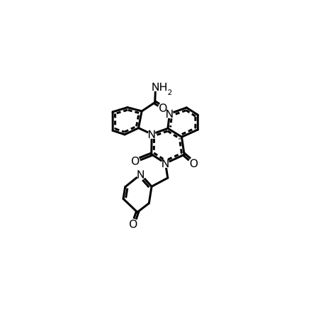 NC(=O)c1ccccc1-n1c(=O)n(CC2=NC=CC(=O)C2)c(=O)c2cccnc21